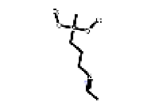 C/C=N/CCC[Si](C)(OCC)OCC